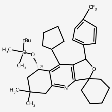 CC1(C)Cc2nc3c(c(C4CCCC4)c2[C@@H](O[Si](C)(C)C(C)(C)C)C1)C(c1ccc(C(F)(F)F)cc1)OC31CCCCC1